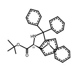 CC(C)(C)OC(=O)[C@H](CNc1ccccc1)NC(c1ccccc1)(c1ccccc1)c1ccccc1